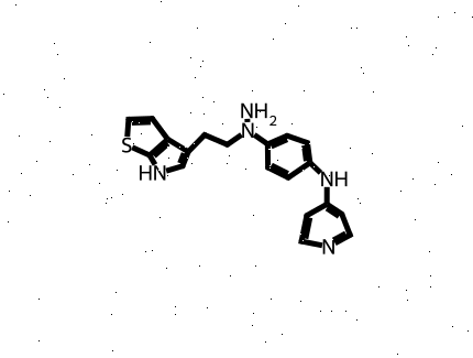 NN(CCc1c[nH]c2sccc12)c1ccc(Nc2ccncc2)cc1